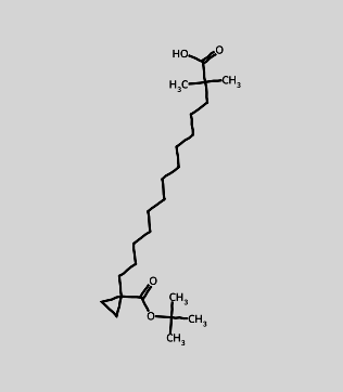 CC(C)(C)OC(=O)C1(CCCCCCCCCCCCC(C)(C)C(=O)O)CC1